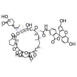 CO[C@H]1C[C@@H](C)C/C(C)=C/[C@@H](CC(=O)Nc2ccc3c(c2)C(=O)OC32c3ccc(O)cc3Oc3cc(O)ccc32)C(=O)C[C@H](O)[C@@H](C)[C@@H](/C(C)=C/[C@@H]2CC[C@@H](O)[C@H](OC)C2)OC(=O)[C@@H]2CCCCN2C(=O)C(=O)[C@]2(O)O[C@H]1[C@@H](OC)C[C@H]2C